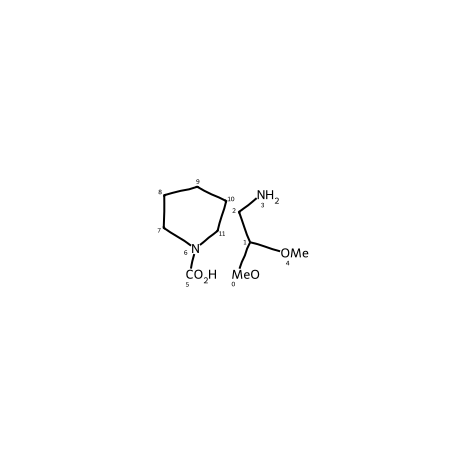 COC(CN)OC.O=C(O)N1CCCCC1